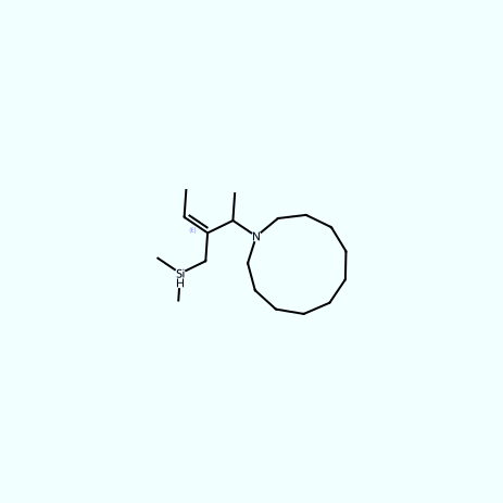 C/C=C(/C[SiH](C)C)C(C)N1CCCCCCCCCC1